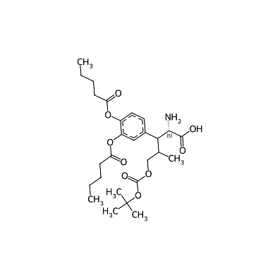 CCCCC(=O)Oc1ccc(C(C(C)COC(=O)OC(C)(C)C)[C@H](N)C(=O)O)cc1OC(=O)CCCC